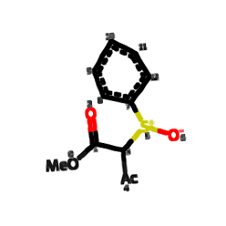 COC(=O)C(C(C)=O)[S+]([O-])c1ccccc1